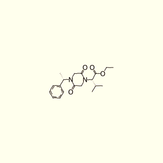 CCOC(=O)[C@H](C(C)C)N1CC(=O)N([C@@H](C)c2ccccc2)CC1=O